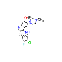 CCOC(=O)c1cnc2cc(OC(C)C)c(N3CCN(C)CC3)cc2c1Nc1ccc(F)c(Cl)c1